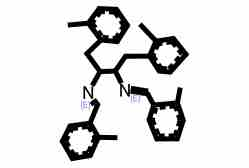 Cc1ccccc1/C=N/C(Cc1ccccc1C)C(Cc1ccccc1C)/N=C/c1ccccc1C